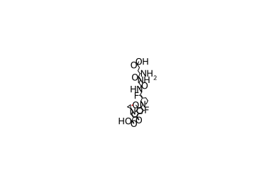 COc1c(N2CCCC(=C(F)CNC(=O)CNC(=O)[C@@H](N)CCC(=O)O)C2)c(F)cc2c(=O)c(C(=O)O)cn(C3CC3)c12